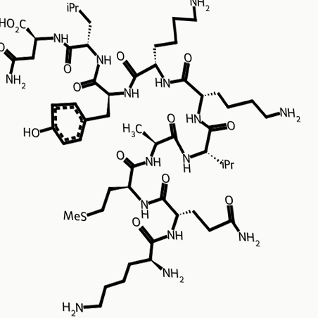 CSCC[C@H](NC(=O)[C@H](CCC(N)=O)NC(=O)[C@@H](N)CCCCN)C(=O)N[C@@H](C)C(=O)N[C@H](C(=O)N[C@@H](CCCCN)C(=O)N[C@@H](CCCCN)C(=O)N[C@@H](Cc1ccc(O)cc1)C(=O)N[C@@H](CC(C)C)C(=O)N[C@@H](CC(N)=O)C(=O)O)C(C)C